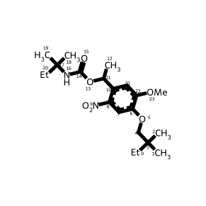 CCC(C)(C)COc1cc([N+](=O)[O-])c(C(C)OC(=O)NC(C)(C)CC)cc1OC